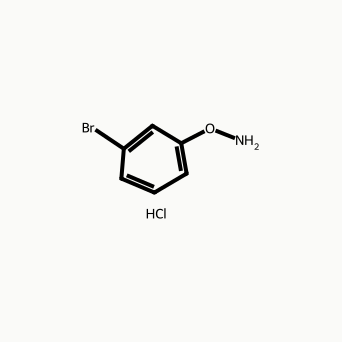 Cl.NOc1cccc(Br)c1